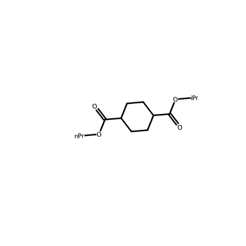 CCCOC(=O)C1CCC(C(=O)OC(C)C)CC1